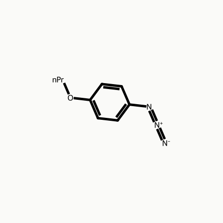 [CH2]CCOc1ccc(N=[N+]=[N-])cc1